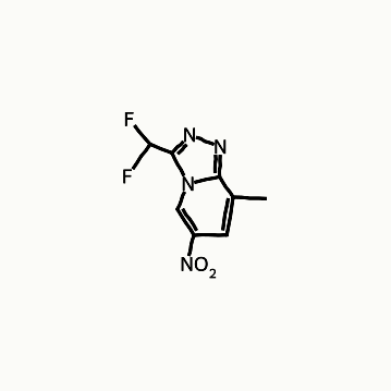 Cc1cc([N+](=O)[O-])cn2c(C(F)F)nnc12